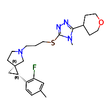 Cc1ccc([C@@H]2C[C@@]23CCN(CCCSc2nnc(C4CCOCC4)n2C)C3)c(F)c1